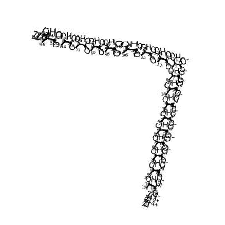 CC(O)C(=O)[O-].CC(O)C(=O)[O-].CC(O)C(=O)[O-].CC(O)C(=O)[O-].CC(O)C(=O)[O-].CC(O)C(=O)[O-].CC(O)C(=O)[O-].CC(O)C(=O)[O-].CC(O)C(=O)[O-].CC(O)C(=O)[O-].CC(O)C(=O)[O-].CC(O)C(=O)[O-].CC(O)C(=O)[O-].CC(O)C(=O)[O-].CC(O)C(=O)[O-].CC(O)C(=O)[O-].CC(O)C(=O)[O-].CC(O)C(=O)[O-].[Zr+4].[Zr+4].[Zr+4].[Zr+4].[Zr+4]